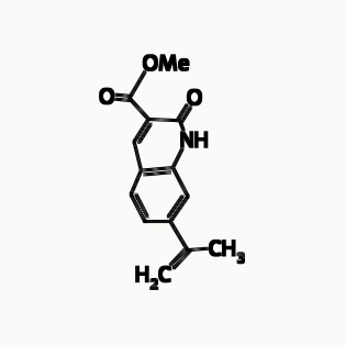 C=C(C)c1ccc2cc(C(=O)OC)c(=O)[nH]c2c1